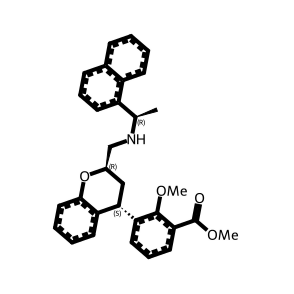 COC(=O)c1cccc([C@H]2C[C@H](CN[C@H](C)c3cccc4ccccc34)Oc3ccccc32)c1OC